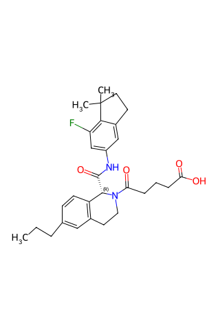 CCCc1ccc2c(c1)CCN(C(=O)CCCC(=O)O)[C@H]2C(=O)Nc1cc(F)c2c(c1)CCC2(C)C